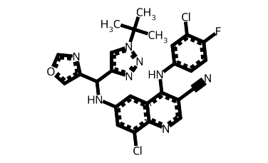 CC(C)(C)n1cc(C(Nc2cc(Cl)c3ncc(C#N)c(Nc4ccc(F)c(Cl)c4)c3c2)c2cocn2)nn1